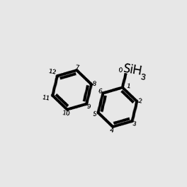 [SiH3]c1ccccc1.c1ccccc1